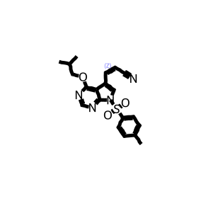 Cc1ccc(S(=O)(=O)n2cc(/C=C\C#N)c3c(OCC(C)C)ncnc32)cc1